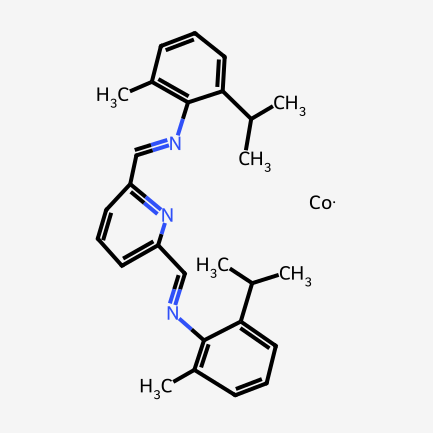 Cc1cccc(C(C)C)c1N=Cc1cccc(C=Nc2c(C)cccc2C(C)C)n1.[Co]